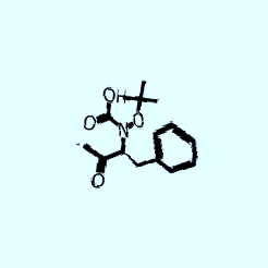 [CH2]C(=O)[C@H](Cc1ccccc1)N(OC(C)(C)C)C(=O)O